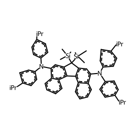 CC(C)c1ccc(N(c2ccc(C(C)C)cc2)c2cc3c(c4ccccc24)-c2c(cc(N(c4ccc(C(C)C)cc4)c4ccc(C(C)C)cc4)c4ccccc24)C3([Si](C)(C)C)[Si](C)(C)C)cc1